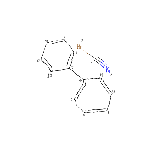 N#CBr.c1ccc(-c2ccccc2)cc1